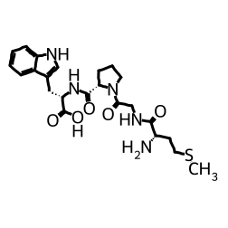 CSCC[C@H](N)C(=O)NCC(=O)N1CCC[C@H]1C(=O)N[C@@H](Cc1c[nH]c2ccccc12)C(=O)O